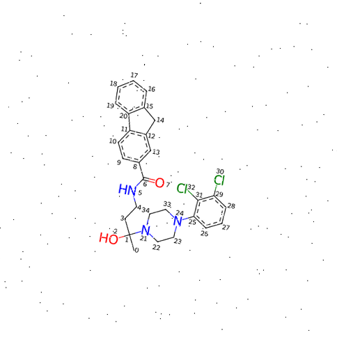 CC(O)(CCNC(=O)c1ccc2c(c1)Cc1ccccc1-2)N1CCN(c2cccc(Cl)c2Cl)CC1